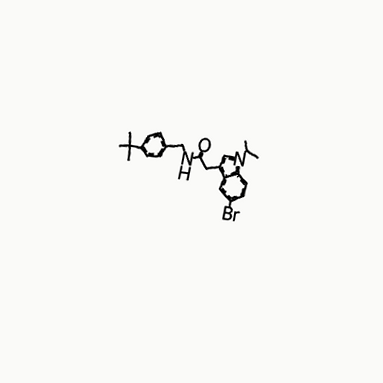 CC(C)n1cc(CC(=O)NCc2ccc(C(C)(C)C)cc2)c2cc(Br)ccc21